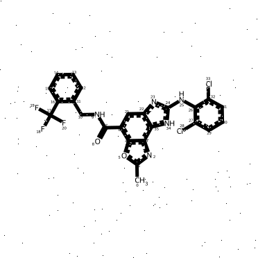 Cc1nc2c(o1)c(C(=O)NCc1ccccc1C(F)(F)F)cc1nc(Nc3c(Cl)cccc3Cl)[nH]c12